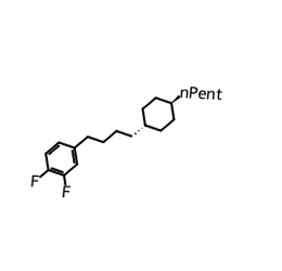 CCCCC[C@H]1CC[C@H](CCCCc2ccc(F)c(F)c2)CC1